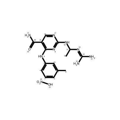 Cc1cccc(Nc2nc(NC(C)N=C(N)N)ncc2C(N)=O)c1.O=[N+]([O-])O